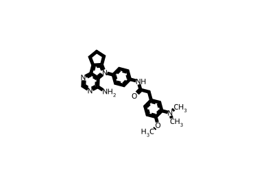 COc1ccc(CC(=O)Nc2ccc(-n3c4c(c5ncnc(N)c53)CCC4)cc2)cc1N(C)C